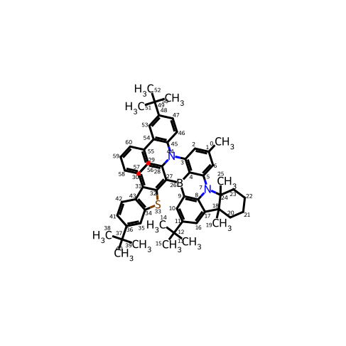 Cc1cc2c3c(c1)N1c4c(cc(C(C)(C)C)cc4C4(C)CCCCC14C)B3c1c(ccc3c1sc1cc(C(C)(C)C)ccc13)N2c1ccc(C(C)(C)C)cc1-c1ccccc1